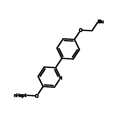 CCCCCCCOc1ccc(-c2ccc(OCC(C)CC)cc2)nc1